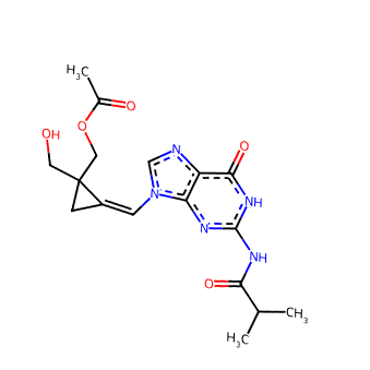 CC(=O)OCC1(CO)C/C1=C/n1cnc2c(=O)[nH]c(NC(=O)C(C)C)nc21